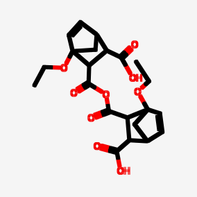 CCOC12C=CC(C1)C(C(=O)O)C2C(=O)OC(=O)C1C(C(=O)O)C2C=CC1(OCC)C2